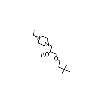 CCN1CCN(CC(O)COCCC(C)(C)C)CC1